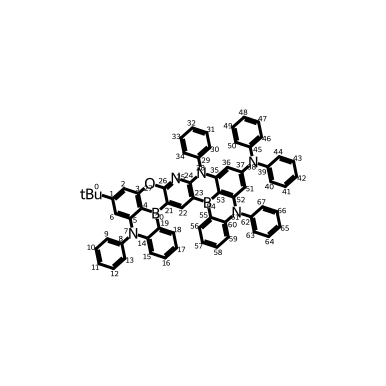 CC(C)(C)c1cc2c3c(c1)N(c1ccccc1)c1ccccc1B3c1cc3c(nc1O2)N(c1ccccc1)c1cc(N(c2ccccc2)c2ccccc2)cc2c1B3c1ccccc1N2c1ccccc1